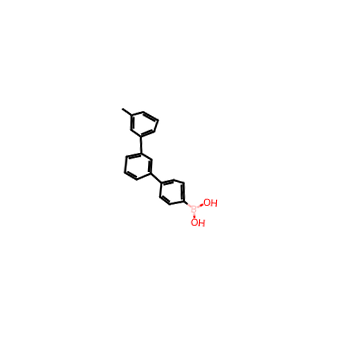 Cc1cccc(-c2cccc(-c3ccc(B(O)O)cc3)c2)c1